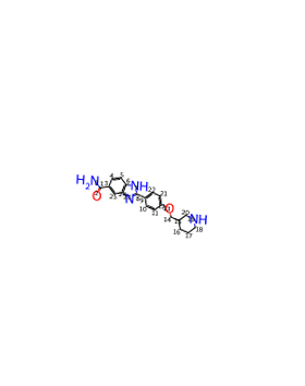 NC(=O)c1ccc2[nH]c(-c3ccc(OCC4CCCNC4)cc3)nc2c1